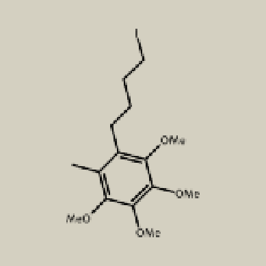 COc1c(C)c(CCCCI)c(OC)c(OC)c1OC